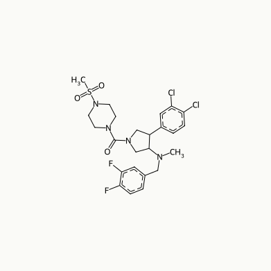 CN(Cc1ccc(F)c(F)c1)C1CN(C(=O)N2CCN(S(C)(=O)=O)CC2)CC1c1ccc(Cl)c(Cl)c1